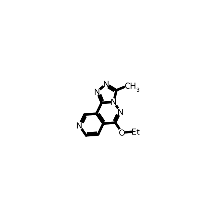 CCOc1nn2c(C)nnc2c2cnccc12